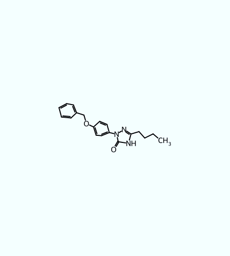 CCCCc1nn(-c2ccc(OCc3ccccc3)cc2)c(=O)[nH]1